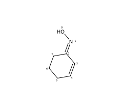 O/N=C1/C=CCCC1